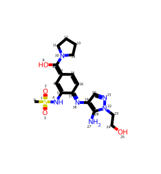 CS(=O)(=O)NC1=CC(=C(O)N2CCCC2)C=CC1=Nc1cnn(CCO)c1N